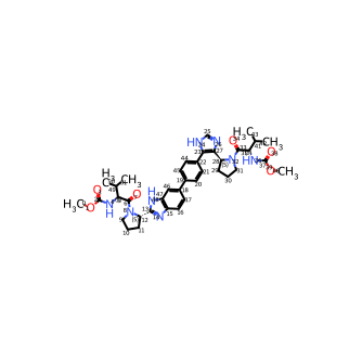 COC(=O)N[C@H](C(=O)N1CCC[C@H]1c1nc2ccc(-c3ccc(-c4[nH]cnc4[C@@H]4CCCN4C(=O)[C@@H](NC(=O)OC)C(C)C)cc3)cc2[nH]1)C(C)C